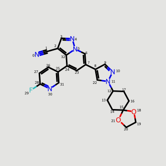 N#Cc1cnn2cc(-c3cnn(C4CCC5(CC4)OCCO5)c3)cc(-c3ccc(F)nc3)c12